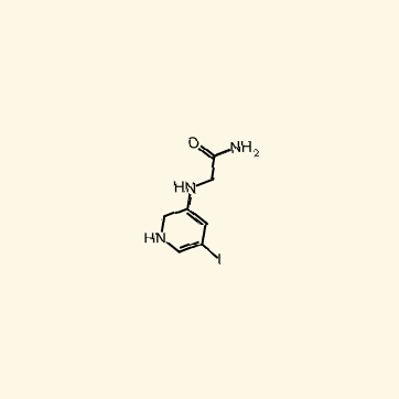 NC(=O)CNC1=CC(I)=CNC1